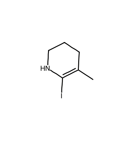 CC1=C(I)NCCC1